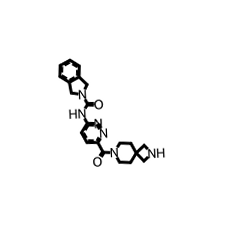 O=C(Nc1ccc(C(=O)N2CCC3(CC2)CNC3)nn1)N1Cc2ccccc2C1